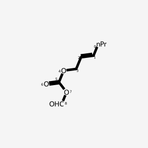 CCCC=CCOC(=O)OC=O